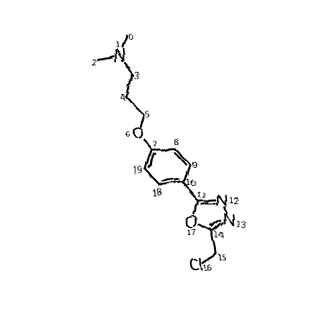 CN(C)CCCOc1ccc(-c2nnc(CCl)o2)cc1